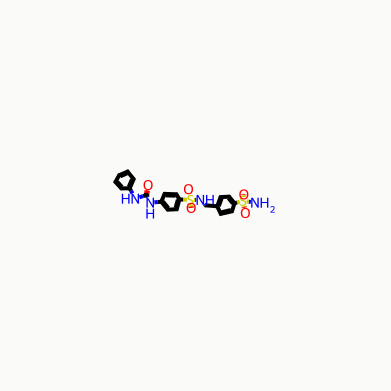 NS(=O)(=O)c1ccc(CNS(=O)(=O)c2ccc(NC(=O)Nc3ccccc3)cc2)cc1